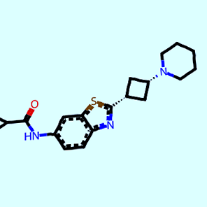 O=C(Nc1ccc2nc([C@H]3C[C@@H](N4CCCCC4)C3)sc2c1)C1CC1